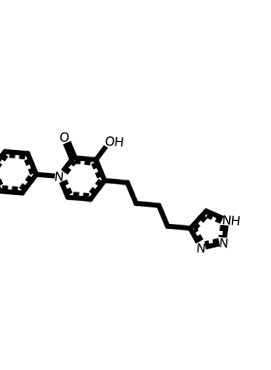 O=c1c(O)c(CCCCc2c[nH]nn2)ccn1-c1ccccc1